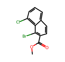 COC(=O)c1ccc2cccc(Cl)c2c1Br